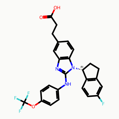 O=C(O)CCc1ccc2c(c1)nc(Nc1ccc(OC(F)(F)F)cc1)n2[C@@H]1CCc2cc(F)ccc21